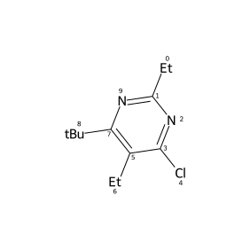 CCc1nc(Cl)c(CC)c(C(C)(C)C)n1